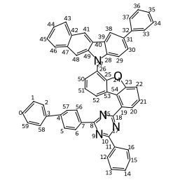 c1ccc(-c2ccc(-c3nc(-c4ccccc4)nc(-c4cccc5oc6c(-n7c8ccc(-c9ccccc9)cc8c8cc9ccccc9cc87)cccc6c45)n3)cc2)cc1